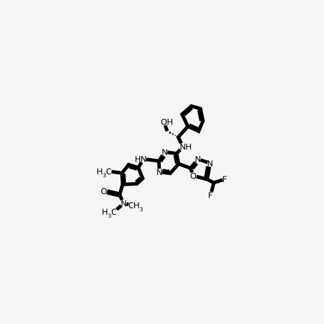 Cc1cc(Nc2ncc(-c3nnc(C(F)F)o3)c(N[C@H](CO)c3ccccc3)n2)ccc1C(=O)N(C)C